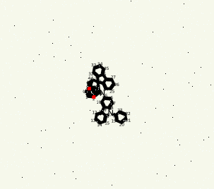 c1ccc(N(c2ccc3c(c2)c2ccccc2n3-c2ccccc2)c2cccc3c2C2(c4ccccc4-3)C3CC4CC(C3)CC2C4)cc1